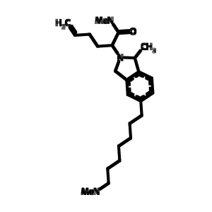 C=CCCC(C(=O)NC)N1Cc2cc(CCCCCCCNC)ccc2C1C